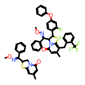 CON=C(c1ccccc1)C1C(c2ccc(Oc3ccccc3)cc2F)Sc2c(Cc3c(F)cccc3C(F)(F)F)c(C)cc(=O)n21.CON=C(c1ccccc1)C1Cn2c(cc(C)cc2=O)S1